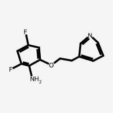 Nc1c(F)cc(F)cc1OCCc1cccnc1